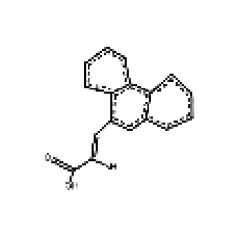 O=C(O)C(S)=Cc1cc2ccccc2c2ccccc12